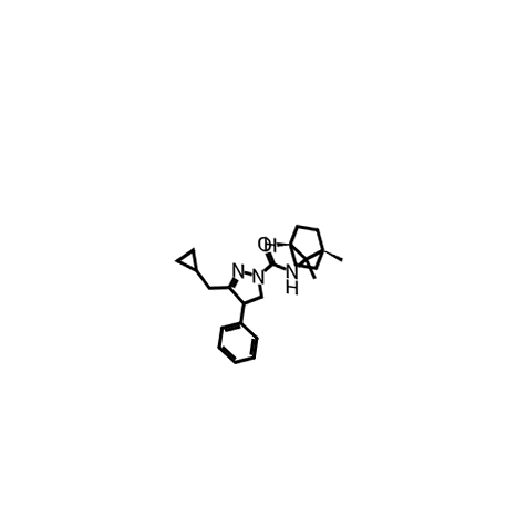 CC1(NC(=O)N2CC(c3ccccc3)C(CC3CC3)=N2)[C@H]2CC[C@]1(C)CC2